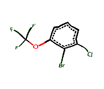 FC(F)(F)Oc1cccc(Cl)c1Br